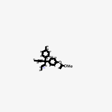 C=C(OC)Oc1ccc(C(C#CC)(/C=C/C)c2ccc(C)cc2)cc1